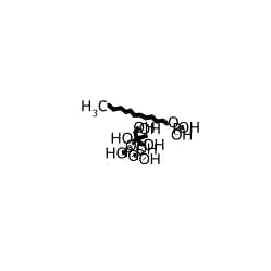 CCCCCCCCCCCCCOP(O)O.OCC(CO)(CO)CO.OP(O)OP(O)O